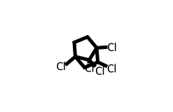 ClC1CC2(Cl)CCC1(Cl)C2(Cl)Cl